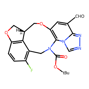 CC(C)(C)OC(=O)N1Cc2c(F)ccc3c2[C@H](CO3)COc2cc(C=O)c3nncn3c21